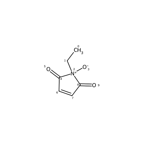 CC[N+]1([O-])C(=O)C=CC1=O